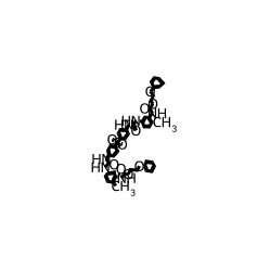 Cc1ccc(NC(=O)Nc2ccc(S(=O)(=O)c3ccc(NC(=O)Nc4ccc(C)c(NC(=O)OCCOc5ccccc5)c4)cc3)cc2)cc1NC(=O)OCCOc1ccccc1